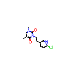 Cc1cn(C)c(=O)n(CCc2ccc(Cl)nc2)c1=O